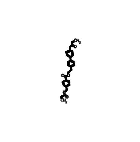 C=CC(=O)Cc1ccc(-c2ccc(CCOC(=O)c3ccc(COC(=O)C=C)cc3)cc2)cc1